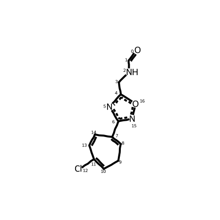 O=CNCc1nc(C2=CCC=C(Cl)C=C2)no1